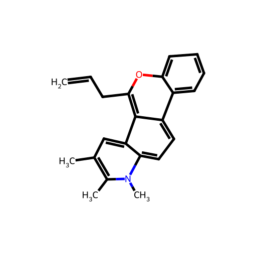 C=CCC1=c2c(ccc3c2=CC(C)=C(C)N3C)-c2ccccc2O1